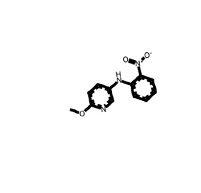 COc1ccc(Nc2ccccc2[N+](=O)[O-])cn1